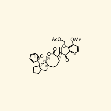 COc1ccnc(C(=O)N[C@H]2CCC[C@H](CC3CCCC3)[C@@H](Oc3ccccc3)[C@H](C)OC2=O)c1OCOC(C)=O